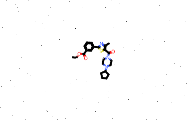 CCOC(=O)c1cccc(-c2nc(C)c(C(=O)N3CCN(C4CCCC4)CC3)s2)c1